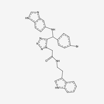 O=C(Cn1nnnc1C(Nc1ccc2[nH]cnc2c1)c1ccc(Br)cc1)NCCc1c[nH]c2ccccc12